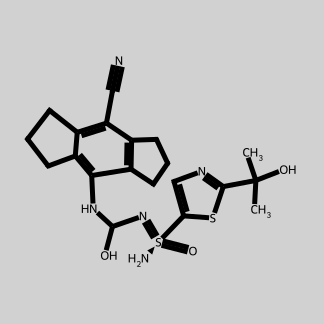 CC(C)(O)c1ncc([S@](N)(=O)=NC(O)Nc2c3c(c(C#N)c4c2CCC4)CCC3)s1